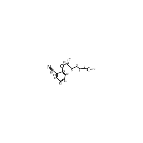 CCCCCC[C@@H](C)Oc1ccccc1C#N